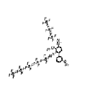 CC(C)Oc1cccc(-c2ccc([N+]#N)c(OC(C)C)c2[N+]#N)c1.F[B-](F)(F)F.F[B-](F)(F)F.F[B-](F)(F)F.F[B-](F)(F)F.F[B-](F)(F)F.F[B-](F)(F)F.F[B-](F)(F)F.F[B-](F)(F)F